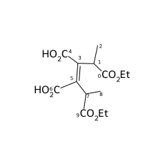 CCOC(=O)C(C)C(C(=O)O)=C(C(=O)O)C(C)C(=O)OCC